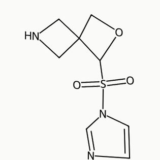 O=S(=O)(C1OCC12CNC2)n1ccnc1